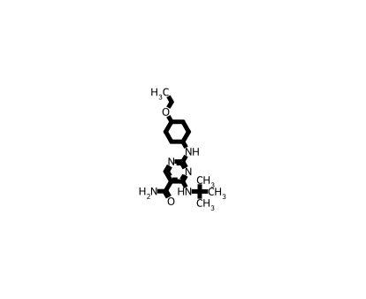 CCOC1CCC(Nc2ncc(C(N)=O)c(NC(C)(C)C)n2)CC1